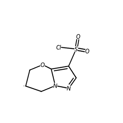 O=S(=O)(Cl)c1cnn2c1OC[CH]C2